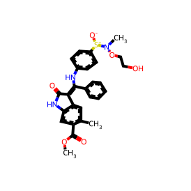 COC(=O)c1cc2c(cc1C)/C(=C(/Nc1ccc([S+]([O-])N(C)OCCO)cc1)c1ccccc1)C(=O)N2